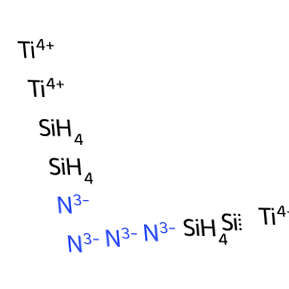 [N-3].[N-3].[N-3].[N-3].[SiH4].[SiH4].[SiH4].[Si].[Ti+4].[Ti+4].[Ti+4]